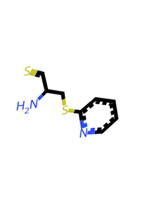 NC(C=S)CSc1ccccn1